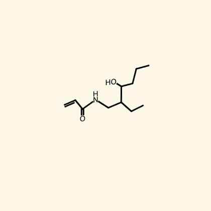 C=CC(=O)NCC(CC)C(O)CCC